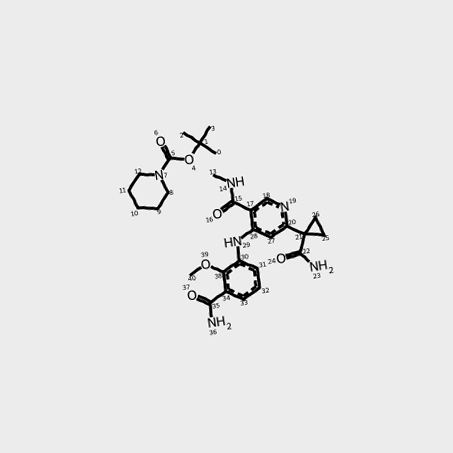 CC(C)(C)OC(=O)N1CCCCC1.CNC(=O)c1cnc(C2(C(N)=O)CC2)cc1Nc1cccc(C(N)=O)c1OC